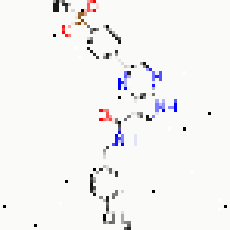 Cc1ccc(CNC(=O)c2c[nH]c3ncc(-c4ccc(S(=O)(=O)C(C)C)cc4)nc23)cc1